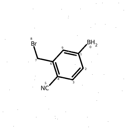 Bc1ccc(C#N)c(CBr)c1